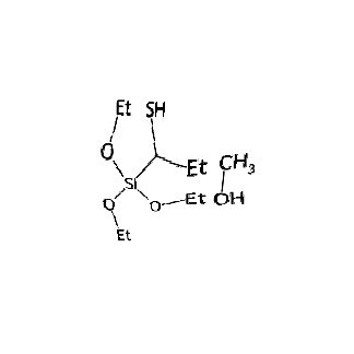 CCO[Si](OCC)(OCC)C(S)CC.CO